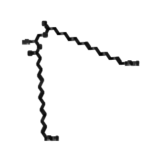 CCCCCC=CCC=CCC=CCC=CCCCC(=O)OCC(CCC)OC(=O)CCCC=CCC=CCC=CCC=CCCCCC